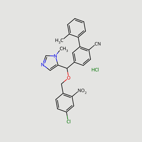 Cc1ccccc1-c1cc(C(OCc2ccc(Cl)cc2[N+](=O)[O-])c2cncn2C)ccc1C#N.Cl